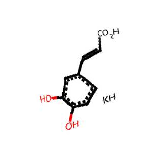 O=C(O)/C=C/c1ccc(O)c(O)c1.[KH]